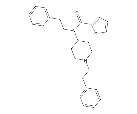 O=C(c1ccco1)N(CCc1ccccc1)C1CCN(CCc2ccccc2)CC1